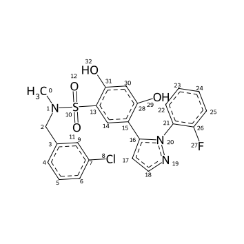 CN(Cc1cccc(Cl)c1)S(=O)(=O)c1cc(-c2ccnn2-c2ccccc2F)c(O)cc1O